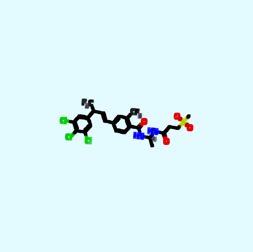 C[C@H](NC(=O)CCS(C)(=O)=O)NC(=O)c1ccc(C=CC(c2cc(Cl)c(Cl)c(Cl)c2)C(F)(F)F)cc1C(F)(F)F